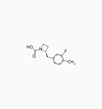 Cc1ccc(C[C@@H]2CCN2C(=O)O)cc1F